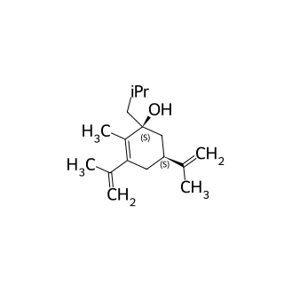 C=C(C)C1=C(C)[C@](O)(CC(C)C)C[C@@H](C(=C)C)C1